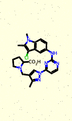 Cc1nn(-c2ccnc(Nc3ccc4c(c3)c(Cl)c(C)n4C)n2)cc1CN1CCCC1C(=O)O